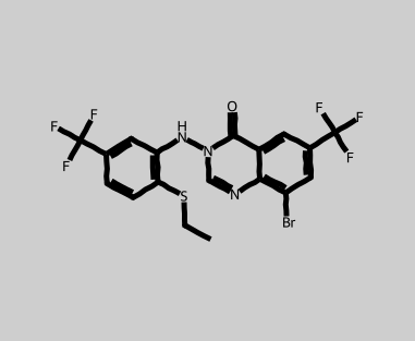 CCSc1ccc(C(F)(F)F)cc1Nn1cnc2c(Br)cc(C(F)(F)F)cc2c1=O